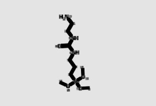 CO[Si](CCCNC(=O)NCCN)(OC)OC